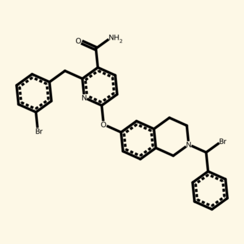 NC(=O)c1ccc(Oc2ccc3c(c2)CCN(C(Br)c2ccccc2)C3)nc1Cc1cccc(Br)c1